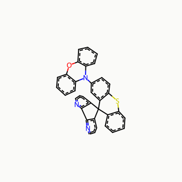 c1ccc2c(c1)Oc1ccccc1N2c1ccc2c(c1)C1(c3ccccc3S2)c2cccnc2-c2ncccc21